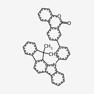 CC1(C)c2ccccc2-c2ccc3c4ccccc4n(-c4cccc(-c5ccc6c(c5)c(=O)oc5ccccc56)c4)c3c21